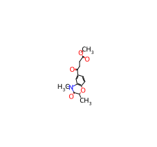 COC(=O)CCC(=O)c1ccc2c(c1)N(C)C(=O)C(C)O2